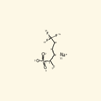 O=S(=O)([O-])C(F)CCCC(F)(F)F.[Na+]